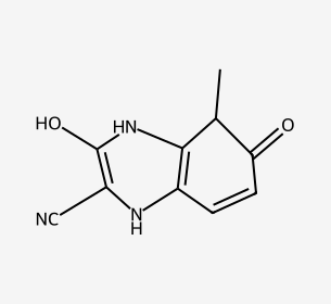 CC1C(=O)C=CC2=C1NC(O)=C(C#N)N2